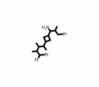 CCC(C(C)C)C(C)C(C)C(C)C1CC(C(N)C(C)CC(C)C)C1